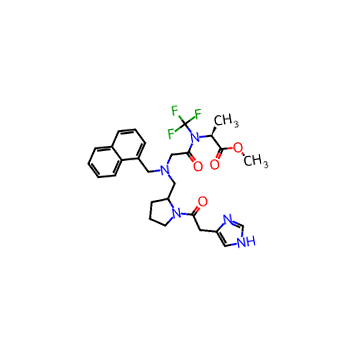 COC(=O)[C@H](C)N(C(=O)CN(Cc1cccc2ccccc12)CC1CCCN1C(=O)Cc1c[nH]cn1)C(F)(F)F